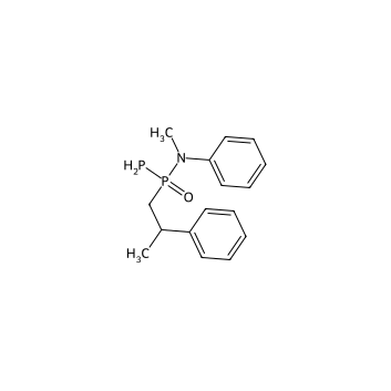 CC(CP(=O)(P)N(C)c1ccccc1)c1ccccc1